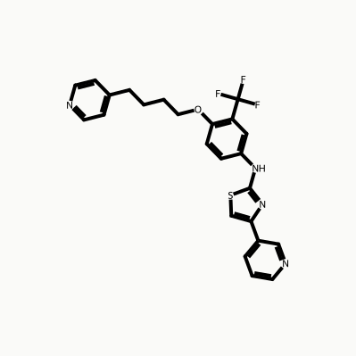 FC(F)(F)c1cc(Nc2nc(-c3cccnc3)cs2)ccc1OCCCCc1ccncc1